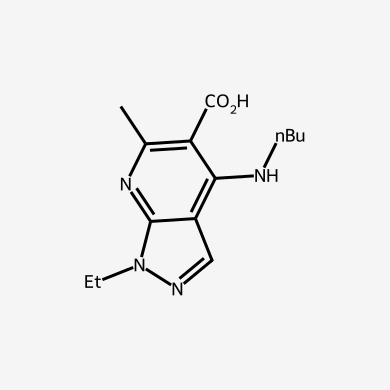 CCCCNc1c(C(=O)O)c(C)nc2c1cnn2CC